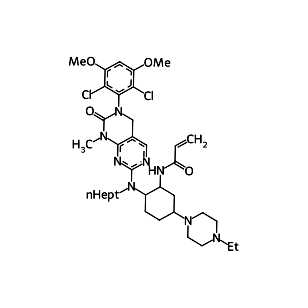 C=CC(=O)NC1CC(N2CCN(CC)CC2)CCC1N(CCCCCCC)c1ncc2c(n1)N(C)C(=O)N(c1c(Cl)c(OC)cc(OC)c1Cl)C2